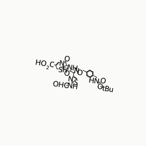 CC(C)(C)OC(=O)NCc1ccc(CON=C(C(=O)NC2C(=O)N3C=C(C(=O)O)CS[C@H]23)c2csc(NC=O)n2)cc1